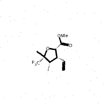 C=C[C@H]1[C@@H](C(=O)OC)O[C@@](C)(C(F)(F)F)[C@H]1C